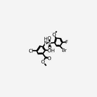 COC(=O)c1cc(Cl)cc(NS(=O)(=O)c2cc(Br)c(F)cc2OC)c1O